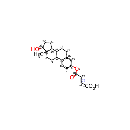 C[C@]12CCC3c4ccc(OC(=O)/C=C/C(=O)O)cc4CCC3C1CC[C@@H]2O